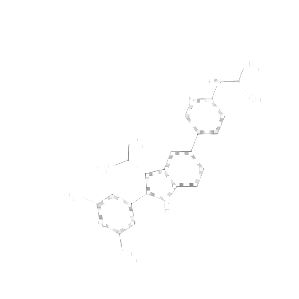 Cc1cc(-c2[nH]c3ccc(-c4ccc(NC(C)C)nc4)cc3c2C(C)C)cc(C)n1